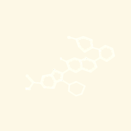 O=C(O)c1ccc2c(c1)nc(-c1cc3ccc(-c4ccccc4-c4ccc(Cl)cc4)nc3cc1F)n2C1CCCCC1